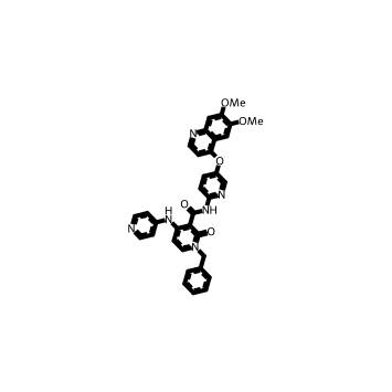 COc1cc2nccc(Oc3ccc(NC(=O)c4c(Nc5ccncc5)ccn(Cc5ccccc5)c4=O)nc3)c2cc1OC